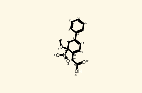 COC1([N+](=O)[O-])CC(c2ccccc2)=CC=C1CC(=O)O